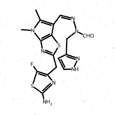 Cc1c(/C=N\N(C=O)Cc2cc[nH]n2)c2sc(Cc3nc(N)sc3F)nc2n1C